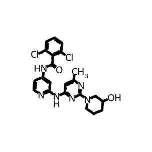 Cc1cc(Nc2cc(NC(=O)c3c(Cl)cccc3Cl)ccn2)nc(N2CCCC(O)C2)n1